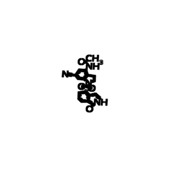 CC(=O)Nc1cc(C#N)cc2c1CCN2S(=O)(=O)c1cccc2c(=O)[nH]ccc12